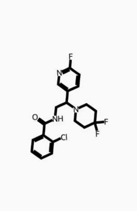 O=C(NCC(c1ccc(F)nc1)N1CCC(F)(F)CC1)c1ccccc1Cl